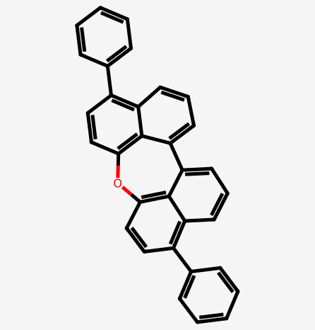 c1ccc(-c2ccc3oc4ccc(-c5ccccc5)c5cccc(c6cccc2c36)c45)cc1